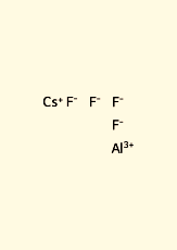 [Al+3].[Cs+].[F-].[F-].[F-].[F-]